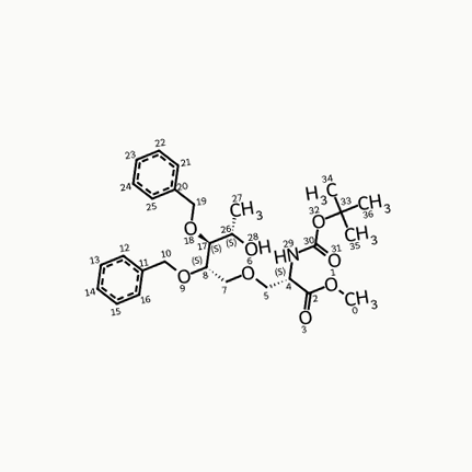 COC(=O)[C@H](COC[C@H](OCc1ccccc1)[C@@H](OCc1ccccc1)[C@H](C)O)NC(=O)OC(C)(C)C